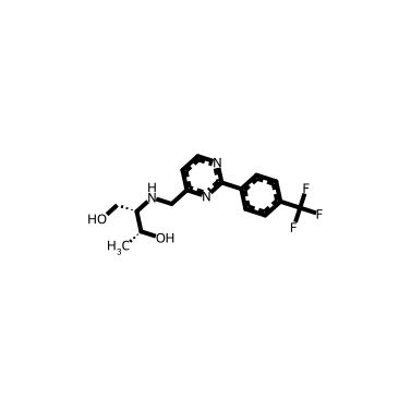 C[C@@H](O)[C@H](CO)NCc1ccnc(-c2ccc(C(F)(F)F)cc2)n1